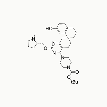 CN1CCC[C@H]1COc1nc2c(c(N3CCN(C(=O)OC(C)(C)C)CC3)n1)CCC1(CCCc3ccc(O)cc31)C2